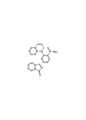 NC(=O)c1ccccc1N1CC=Cc2ccccc21.O=C1N=Cc2ccccc21